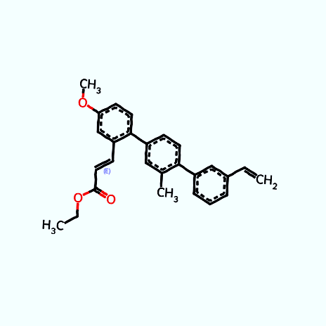 C=Cc1cccc(-c2ccc(-c3ccc(OC)cc3/C=C/C(=O)OCC)cc2C)c1